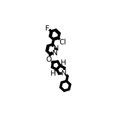 Fc1ccc(Cl)c(-c2ccc(O[C@H]3C[C@@H]4CN(CC5CCCCC5)C[C@@H]4C3)nn2)c1